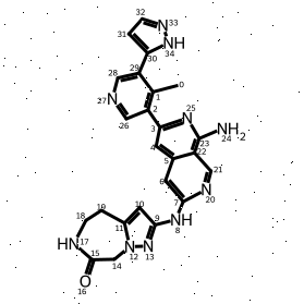 Cc1c(-c2cc3cc(Nc4cc5n(n4)CC(=O)NCC5)ncc3c(N)n2)cncc1-c1ccn[nH]1